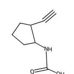 C#CC1CCCC1NC(=O)O